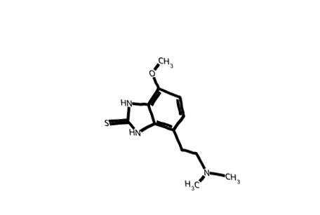 COc1ccc(CCN(C)C)c2[nH]c(=S)[nH]c12